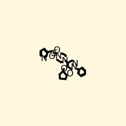 O=c1c(OC2CCCC2)c(N2CCN(S(=O)(=O)Cc3cccnc3)CC2)cnn1-c1ccccc1